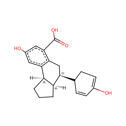 O=C(O)c1cc(O)cc2c1C[C@@H](C1C=CC(O)=CC1)[C@H]1CCC[C@@H]21